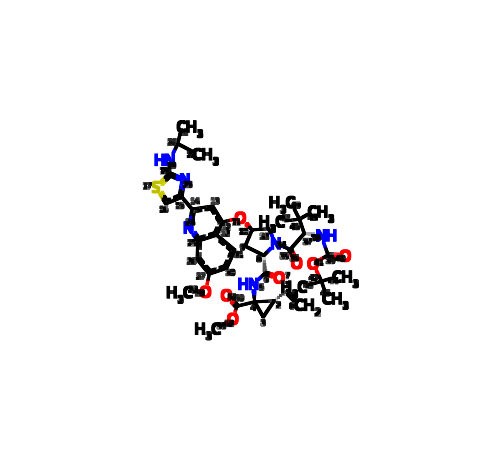 C=C[C@@H]1C[C@]1(NC(=O)[C@@H]1C[C@@H](Oc2cc(-c3csc(NC(C)C)n3)nc3cc(OC)ccc23)CN1C(=O)[C@@H](NC(=O)OC(C)(C)C)C(C)(C)C)C(=O)OC